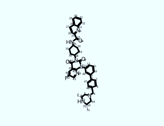 C[C@@H]1CN(Cc2ccc(-c3cccc(-n4c(=O)n(C5CCC(NC(=O)c6ccc7ccccc7n6)CC5)c(=O)c5cc(F)cnc54)c3)cc2)C[C@H](C)N1